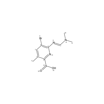 Cc1cc(Br)c(N=CN(C)C)nc1C(=O)O